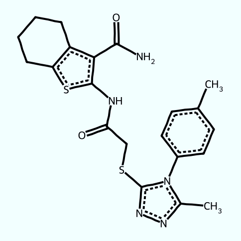 Cc1ccc(-n2c(C)nnc2SCC(=O)Nc2sc3c(c2C(N)=O)CCCC3)cc1